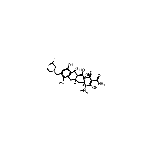 CCN(Cc1cc(O)c2c(c1OC)C[C@H]1C[C@H]3[C@H](N(C)C)C(O)=C(C(N)=O)C(=O)[C@@]3(O)C(O)=C1C2=O)CC(F)F